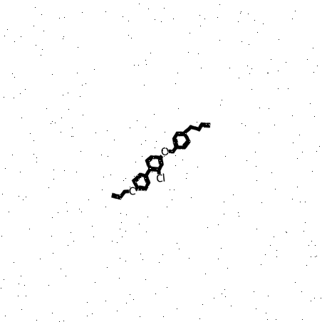 C=CCCc1ccc(COc2ccc(-c3ccc(CCC=C)cc3)c(Cl)c2)cc1